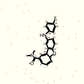 CN(C)C(=O)C1=CC=CC2Oc3ccc(Nc4ccc(F)cc4)cc3C2=C1